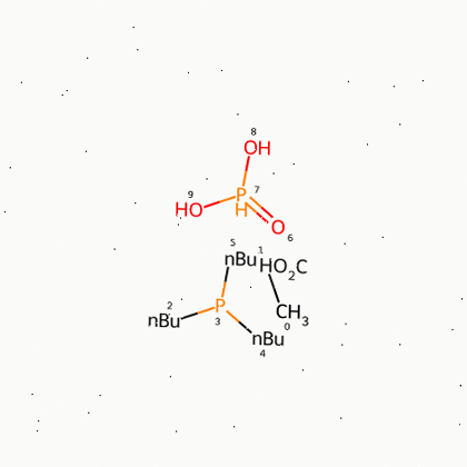 CC(=O)O.CCCCP(CCCC)CCCC.O=[PH](O)O